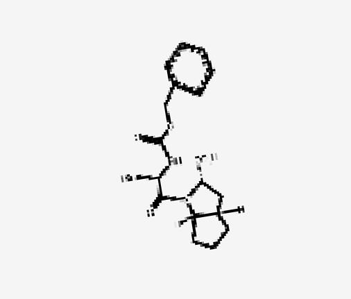 CC(C)(C)C(NC(=O)OCc1ccccc1)C(=O)N1[C@H](C(=O)O)C[C@@H]2CCC[C@@H]21